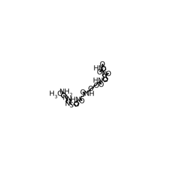 CC1(N)CCN(c2cnc(Sc3cccc(NC(=O)CCC(=O)NCCOCCOCC(=O)Nc4cccc5c4CN(C4CCC(=O)NC4=O)C5=O)c3)cn2)CC1